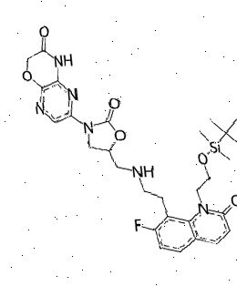 CC(C)(C)[Si](C)(C)OCCn1c(=O)ccc2ccc(F)c(CCNCC3CN(c4cnc5c(n4)NC(=O)CO5)C(=O)O3)c21